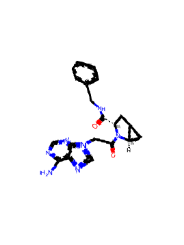 Nc1ncnc2c1ncn2CC(=O)N1[C@@H]2CC2C[C@H]1C(=O)NCc1ccccc1